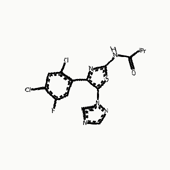 CC(C)C(=O)Nc1nc(-c2cc(F)c(Cl)cc2Cl)c(-n2cncn2)s1